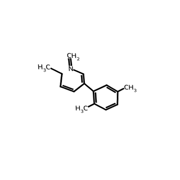 C=N/C=C(\C=C/CC)c1cc(C)ccc1C